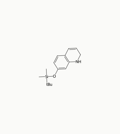 CC(C)(C)[Si](C)(C)Oc1ccc2c(c1)NCC=C2